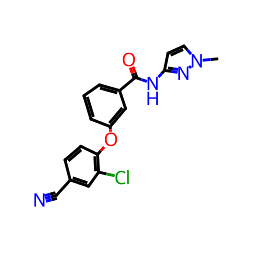 Cn1ccc(NC(=O)c2cccc(Oc3ccc(C#N)cc3Cl)c2)n1